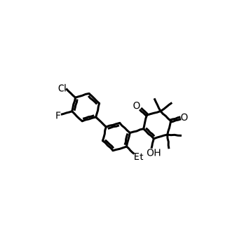 CCc1ccc(-c2ccc(Cl)c(F)c2)cc1C1=C(O)C(C)(C)C(=O)C(C)(C)C1=O